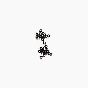 c1ccc(-c2cccc(-c3nc(-c4c(-n5c6ccccc6c6cc7ccccc7cc65)ccc5c4oc4cc(-c6ccc(-c7ccc(-c8nc(-c9c(-n%10c%11ccccc%11c%11cc%12ccccc%12cc%11%10)ccc%10c9oc9ccccc9%10)nc(-n9c%10ccccc%10c%10ccccc%109)n8)cc7)cc6)ccc45)nc(-n4c5ccccc5c5ccccc54)n3)c2)cc1